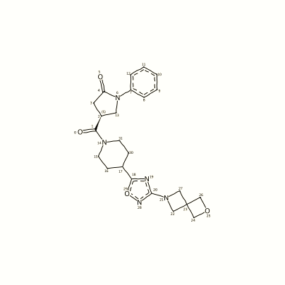 O=C([C@H]1CC(=O)N(c2ccccc2)C1)N1CCC(c2nc(N3CC4(COC4)C3)no2)CC1